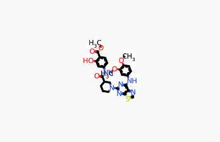 COC(=O)c1ccc(NC(=O)C2CCCN(c3nc(Nc4ccc(OC)c(OC)c4)c4ncsc4n3)C2)cc1O